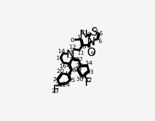 Cc1nc2sccn2c(=O)c1CCN1CCCC(=Cc2ccc(F)cc2)C1=Cc1ccc(F)cc1